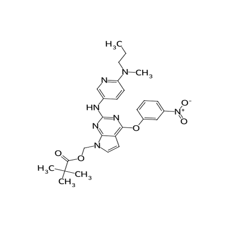 CCCN(C)c1ccc(Nc2nc(Oc3cccc([N+](=O)[O-])c3)c3ccn(COC(=O)C(C)(C)C)c3n2)cn1